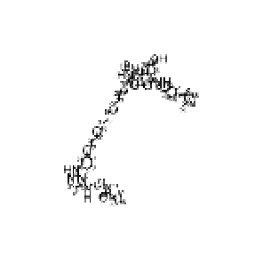 Cc1cnc(Nc2cccc(OCCCOCCCCOCCCOCC(=O)NC(C(=O)N3C[C@H](O)C[C@H]3C(=O)NCc3ccc(-c4scnc4C)cc3)C(C)(C)C)c2)nc1NCCCN(C)C(=O)C1CCC1